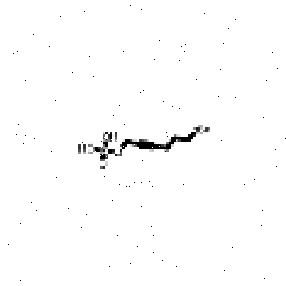 CC(C)(C)CCCC#CCOP(=O)(O)O